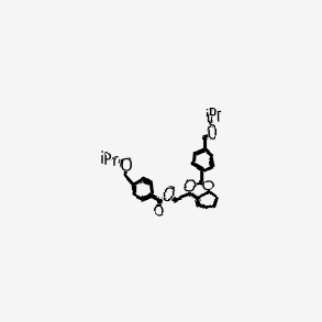 CC(C)OCc1ccc(C(=O)OCC(OC(=O)c2ccc(COC(C)C)cc2)C2CCCCC2)cc1